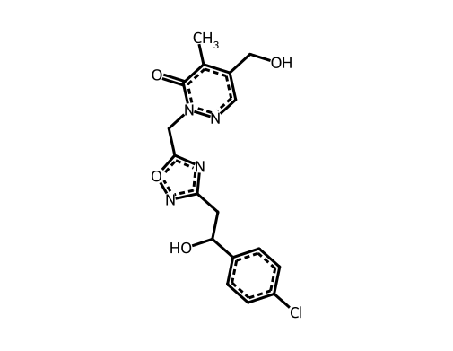 Cc1c(CO)cnn(Cc2nc(CC(O)c3ccc(Cl)cc3)no2)c1=O